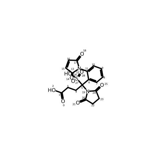 O=C(O)CCC(c1ccccc1N1C(=O)C=CC1=O)(N1C(=O)CCC1=O)S(=O)(=O)O